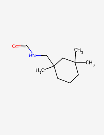 CC1(C)CCCC(C)(CNC=O)C1